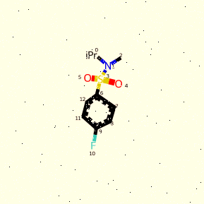 CC(C)N(C)S(=O)(=O)c1ccc(F)cc1